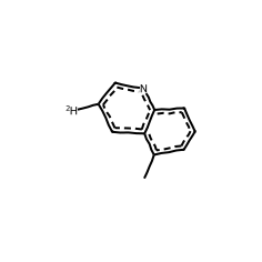 [2H]c1cnc2cccc(C)c2c1